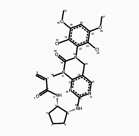 C=CC(=O)N[C@H]1CCC[C@H]1Nc1ncc2c(n1)N(C)C(=O)N(c1c(Cl)c(OC)cc(OC)c1Cl)C2